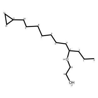 CCCC(CCCCCCCC1CC1)OCCO